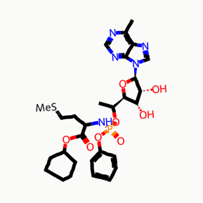 CSCCC(NP(=O)(Oc1ccccc1)OC(C)[C@H]1O[C@@H](n2cnc3c(C)ncnc32)[C@H](O)[C@@H]1O)C(=O)OC1CCCCC1